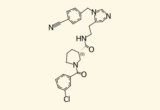 N#Cc1ccc(Cn2cncc2CCNC(=O)[C@H]2CCCN(C(=O)c3cccc(Cl)c3)C2)cc1